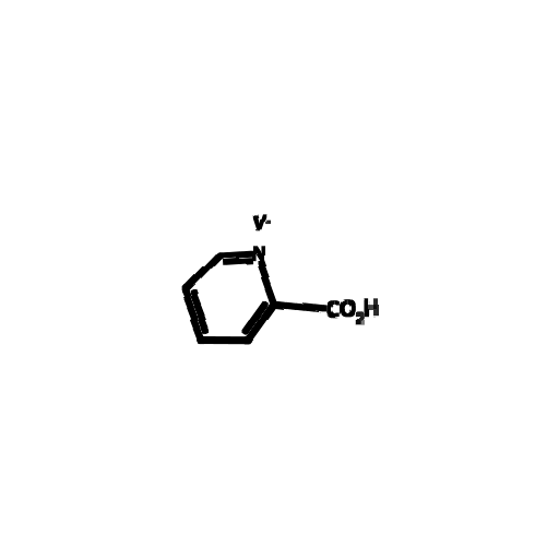 O=C(O)c1ccccn1.[V]